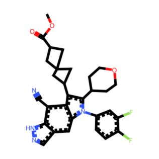 COC(=O)C1CC2(C1)CC(c1c(C3CCOCC3)n(-c3ccc(F)c(F)c3)c3cc4cn[nH]c4c(C#N)c13)C2